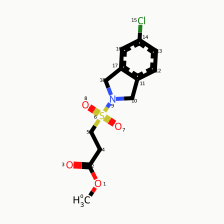 COC(=O)CCS(=O)(=O)N1Cc2ccc(Cl)cc2C1